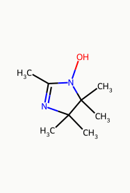 CC1=NC(C)(C)C(C)(C)N1O